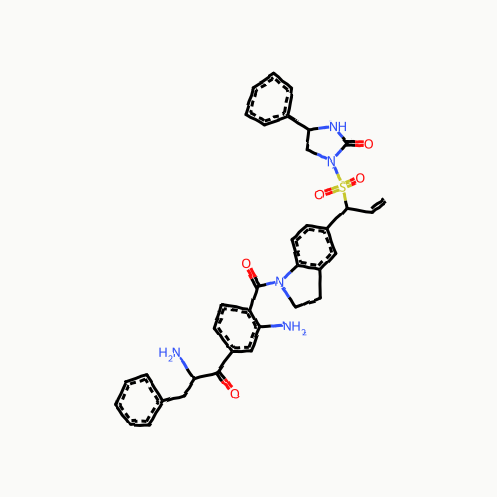 C=CC(c1ccc2c(c1)CCN2C(=O)c1ccc(C(=O)C(N)Cc2ccccc2)cc1N)S(=O)(=O)N1CC(c2ccccc2)NC1=O